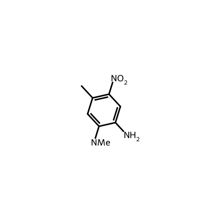 CNc1cc(C)c([N+](=O)[O-])cc1N